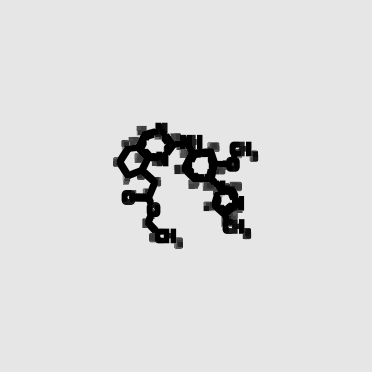 CCOC(=O)CC1CCCc2cnc(Nc3ccc(-n4cnc(C)c4)c(OC)c3)nc21